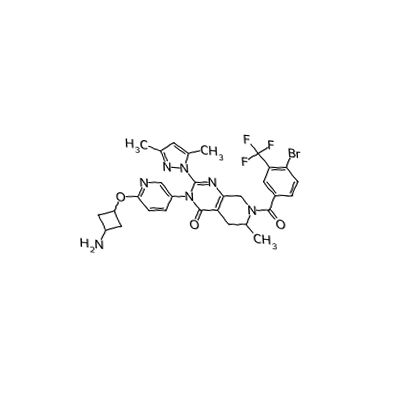 Cc1cc(C)n(-c2nc3c(c(=O)n2-c2ccc(OC4CC(N)C4)nc2)CC(C)N(C(=O)c2ccc(Br)c(C(F)(F)F)c2)C3)n1